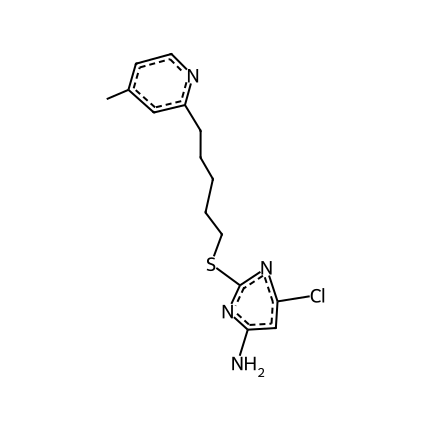 Cc1ccnc(CCCCCSc2nc(N)cc(Cl)n2)c1